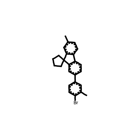 Cc1ccc2c(c1)C1(CCCC1)c1cc(-c3ccc(Br)c(C)c3)ccc1-2